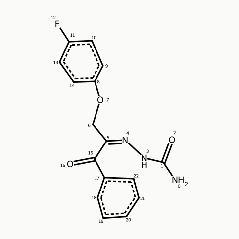 NC(=O)NN=C(COc1ccc(F)cc1)C(=O)c1ccccc1